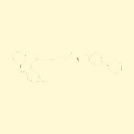 Cc1ccc2nc3c(c(NCCCCCNC(=O)Cc4ccc(-c5ccccc5)cc4)c2c1)CCCC3